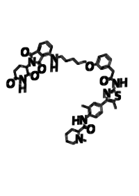 Cc1cc(-c2nc(NC(=O)Cc3cccc(OCCCCCNc4cccc5c4C(=O)N(C4CCC(=O)NC4=O)C5=O)c3)sc2C)ccc1NC(=O)C1CCCCN1C